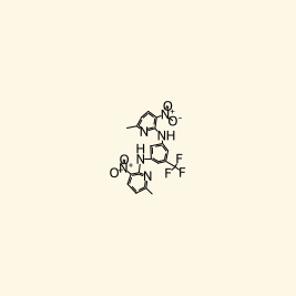 Cc1ccc([N+](=O)[O-])c(Nc2cc(Nc3nc(C)ccc3[N+](=O)[O-])cc(C(F)(F)F)c2)n1